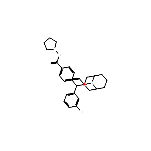 C=CCN1C2CCCC1CN(C(c1ccc(C(=O)NN3CCCC3)cc1)c1cccc(O)c1)C2